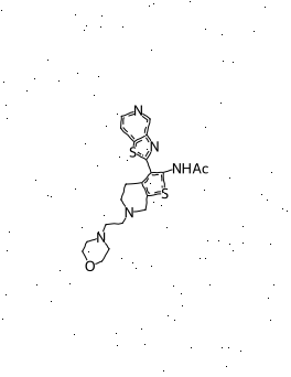 CC(=O)Nc1sc2c(c1-c1nc3cnccc3s1)CCN(CCN1CCOCC1)C2